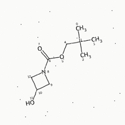 CC(C)(C)COC(=O)N1CC(O)C1